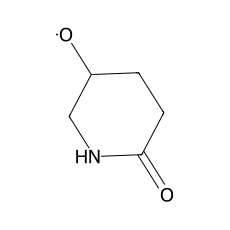 [O]C1CCC(=O)NC1